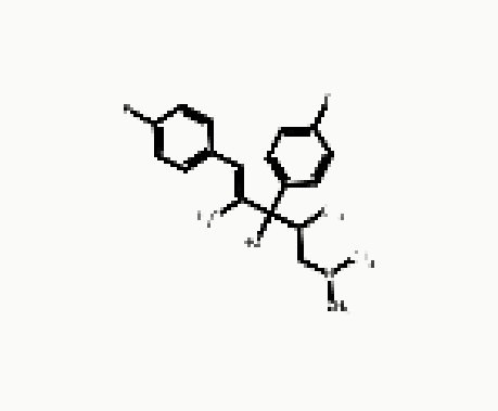 C/C(=C\c1ccc(F)cc1)C(O)(c1ccc(F)cc1)C(C)CN(C)C